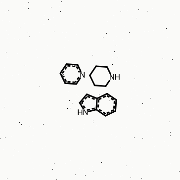 C1CCNCC1.c1ccc2[nH]ccc2c1.c1ccncc1